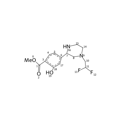 COC(=O)c1ccc(C2CN(CC(F)F)CCN2)cc1O